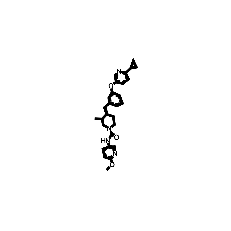 COc1ccc(NC(=O)N2CCC(=Cc3cccc(Oc4ccc(C5CC5)nc4)c3)C(C)C2)cn1